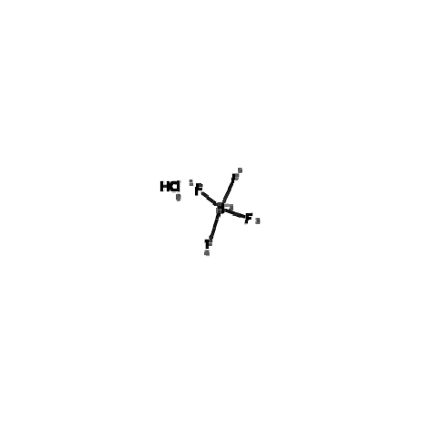 Cl.F[B-](F)(F)F